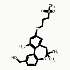 Cc1cc(OCCCS(C)(=O)=O)cc2c1-c1cc(CO)ccc1OC(C)(C)C2